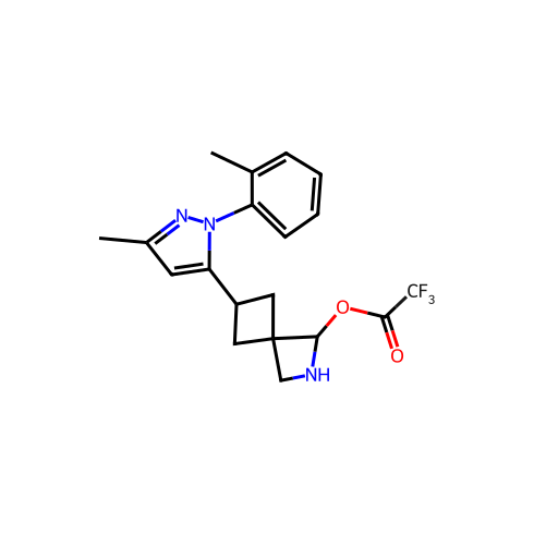 Cc1cc(C2CC3(CNC3OC(=O)C(F)(F)F)C2)n(-c2ccccc2C)n1